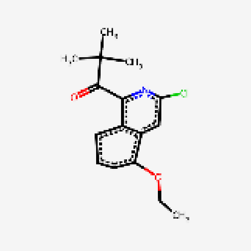 CCOc1cccc2c(C(=O)C(C)(C)C)nc(Cl)cc12